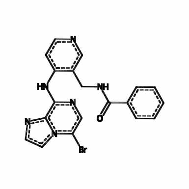 O=C(NCc1cnccc1Nc1ncc(Br)n2ccnc12)c1ccccc1